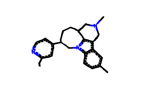 Cc1ccc2c(c1)c1c3n2CC(c2ccnc(C)c2)CCC3CN(C)C1